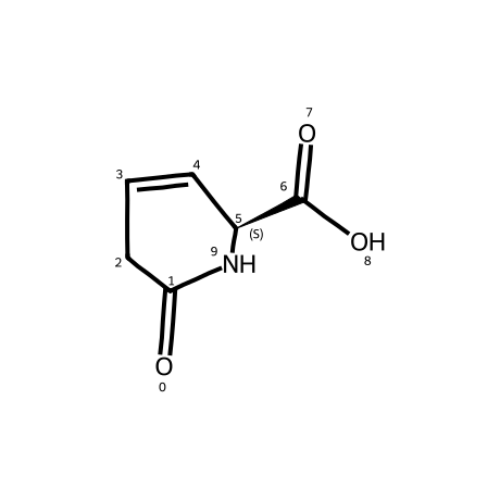 O=C1CC=C[C@@H](C(=O)O)N1